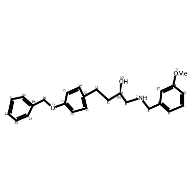 COc1cccc(CNC[C@H](O)[CH]Cc2ccc(OCc3ccccc3)cc2)c1